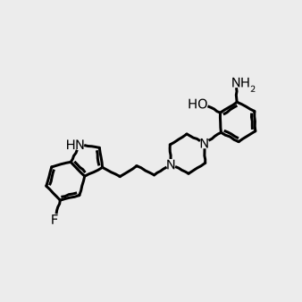 Nc1cccc(N2CCN(CCCc3c[nH]c4ccc(F)cc34)CC2)c1O